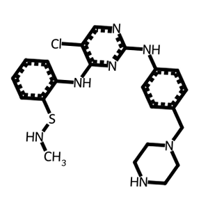 CNSc1ccccc1Nc1nc(Nc2ccc(CN3CCNCC3)cc2)ncc1Cl